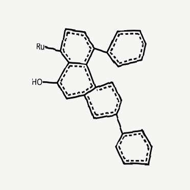 Oc1cc2cc(-c3ccccc3)ccc2c2c(-c3ccccc3)cc[c]([Ru])c12